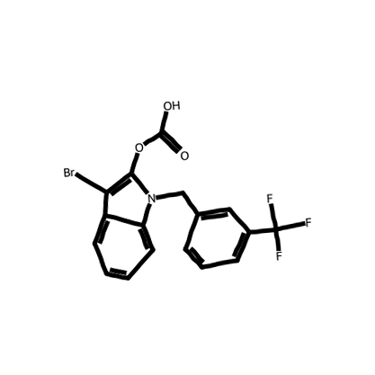 O=C(O)Oc1c(Br)c2ccccc2n1Cc1cccc(C(F)(F)F)c1